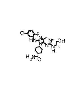 C=N/C(=N\c1c(C)nc(Nc2cc(Cl)ccc2F)n1[C@H]1CC[C@@H](C(N)=O)CC1)N[C@@H](C)CO